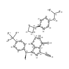 C[C@@H](c1ccc(C(F)(F)F)nc1)n1nc(C#N)c2c(=O)[nH]c([C@@H]3CC[C@H]3c3ncc(OC(F)F)cn3)nc21